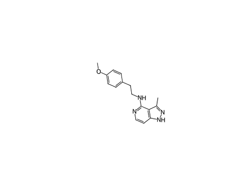 COc1ccc(CCNc2nccc3[nH]nc(C)c23)cc1